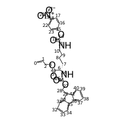 C=CCOC(=O)[C@H](CCCCNC(=O)Oc1ccc([N+](=O)[O-])cc1)NC(=O)OCC1c2ccccc2-c2ccccc21